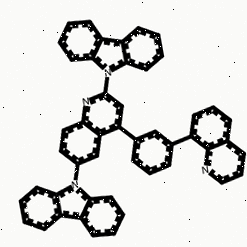 c1cc(-c2cc(-n3c4ccccc4c4ccccc43)nc3ccc(-n4c5ccccc5c5ccccc54)cc23)cc(-c2cccc3cccnc23)c1